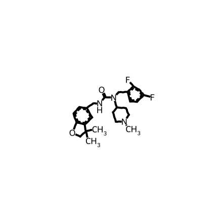 CN1CCC(N(Cc2ccc(F)cc2F)C(=O)NCc2ccc3c(c2)C(C)(C)CO3)CC1